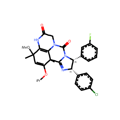 COC1(C)C=C(OC(C)C)C2(C)C3=N[C@@H](c4ccc(Cl)cc4)[C@@H](c4cccc(F)c4)N3C(=O)N3CC(=O)NC1=C32